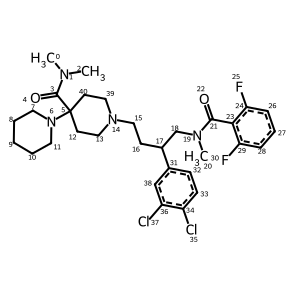 CN(C)C(=O)C1(N2CCCCC2)CCN(CCC(CN(C)C(=O)c2c(F)cccc2F)c2ccc(Cl)c(Cl)c2)CC1